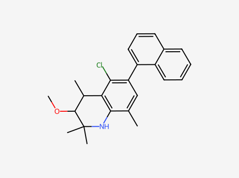 COC1C(C)c2c(Cl)c(-c3cccc4ccccc34)cc(C)c2NC1(C)C